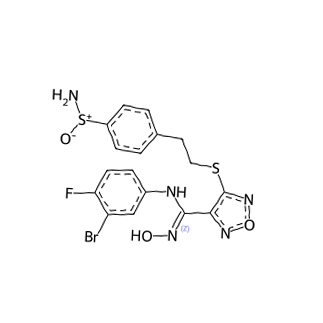 N[S+]([O-])c1ccc(CCSc2nonc2/C(=N/O)Nc2ccc(F)c(Br)c2)cc1